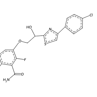 NC(=O)c1c(F)ccc(OCC(O)c2nc(-c3ccc(Cl)cc3)cs2)c1F